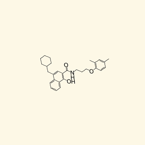 Cc1ccc(OCCCNC(=O)c2cc(CC3CCCCC3)c3ccccc3c2O)c(C)c1